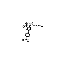 CCCCCC[C@H](C)Oc1ccc(-c2ccc(C(=O)O)cc2)c(C)c1[N+](=O)[O-]